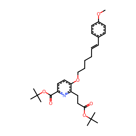 COc1ccc(C=CCCCCOc2ccc(C(=O)OC(C)(C)C)nc2CCC(=O)OC(C)(C)C)cc1